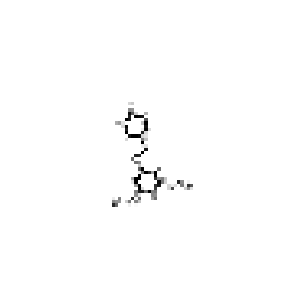 COc1cc(OCc2ccc(F)cc2)cc(SC)c1